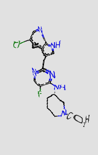 O=C(O)N1CCC[C@H](Nc2nc(-c3c[nH]c4ncc(Cl)cc34)ncc2F)C1